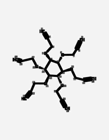 C#CCO[C@H]1[C@H](OCC#C)[C@@H](OCC#C)[C@H](OCC#C)[C@@H](OCC#C)[C@@H]1OCC#C